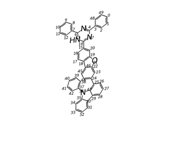 c1ccc(C2=NC(c3ccccc3)NC(c3ccc4c(c3)oc3cc(-c5cccc6c7ccccc7n(-c7ccccc7)c56)ccc34)=N2)cc1